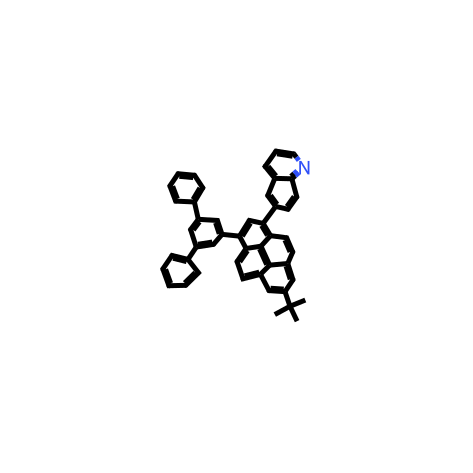 CC(C)(C)c1cc2ccc3c(-c4cc(-c5ccccc5)cc(-c5ccccc5)c4)cc(-c4ccc5ncccc5c4)c4ccc(c1)c2c34